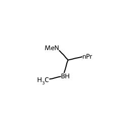 CBC(CCC)NC